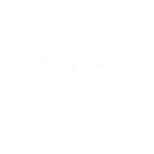 CCn1cc(C(=O)NCCN2CCCC2)c(=O)c2c(O)c(C)ccc21